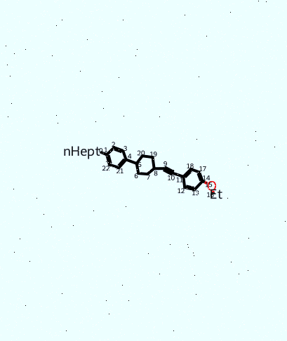 CCCCCCCc1ccc(C2CCC(C#Cc3ccc(OCC)cc3)CC2)cc1